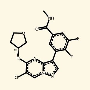 CNC(=O)c1cc(F)c(F)c(-c2cnn3cc(Cl)c(O[C@H]4CCOC4)nc23)c1